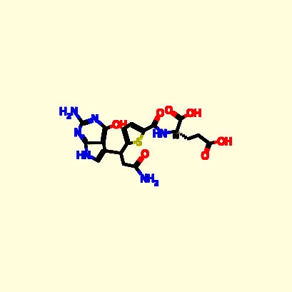 NC(=O)CC(c1ccc(C(=O)N[C@@H](CCC(=O)O)C(=O)O)s1)c1c[nH]c2nc(N)nc(O)c12